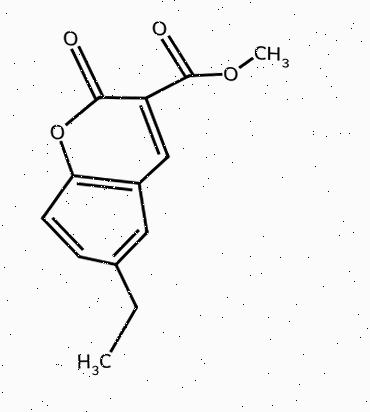 CCc1ccc2oc(=O)c(C(=O)OC)cc2c1